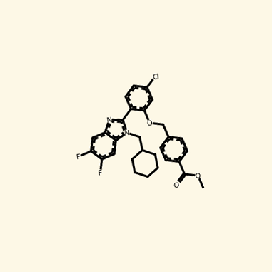 COC(=O)c1ccc(COc2cc(Cl)ccc2-c2nc3cc(F)c(F)cc3n2CC2CCCCC2)cc1